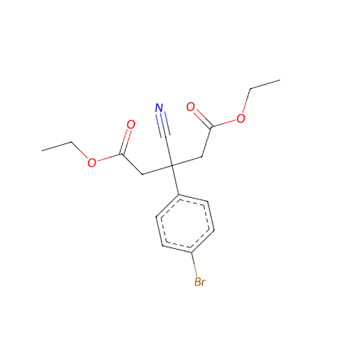 CCOC(=O)CC(C#N)(CC(=O)OCC)c1ccc(Br)cc1